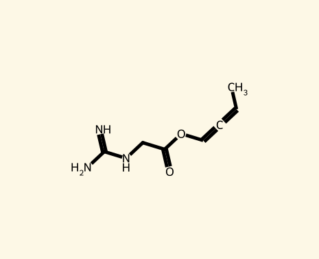 CC=C=COC(=O)CNC(=N)N